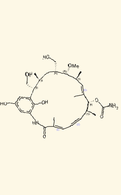 CO[C@H]1[C@@H](CO)C[C@H](C)[C@@H](CO)c2cc(O)cc(c2O)NC(=O)/C(C)=C/C=C\[C@H](C)[C@@H](OC(N)=O)/C(C)=C/[C@@H]1C